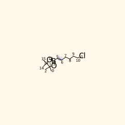 CC1(C)OB(/C=C/CCCCCl)OC1(C)C